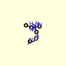 Cc1ccnc(CC2CCN(Cc3ccc(-n4c(-c5cccnc5N)nc5cc(-c6ccccc6)cnc54)cc3)CC2)c1